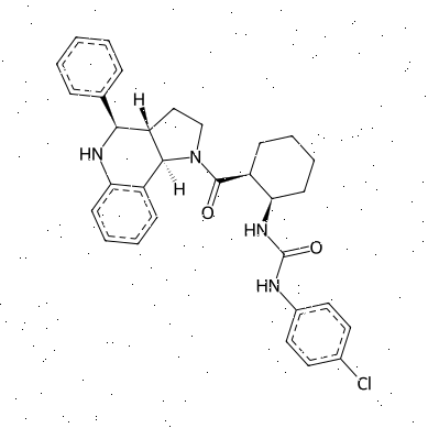 O=C(Nc1ccc(Cl)cc1)N[C@@H]1CCCC[C@@H]1C(=O)N1CC[C@H]2[C@H](c3ccccc3)Nc3ccccc3[C@@H]21